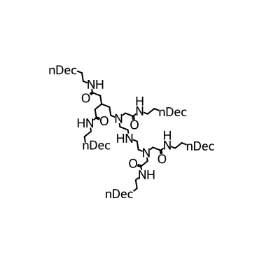 CCCCCCCCCCCCNC(=O)CC(CCN(CCNCCN(CC(=O)NCCCCCCCCCCCC)CC(=O)NCCCCCCCCCCCC)CC(=O)NCCCCCCCCCCCC)CC(=O)NCCCCCCCCCCCC